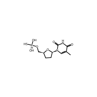 Cc1cn([C@H]2CC[C@@H](CO[PH](O)(O)S)O2)c(=O)[nH]c1=O